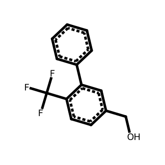 OCc1ccc(C(F)(F)F)c(-c2ccccc2)c1